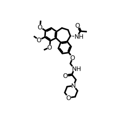 COc1cc2c(c(OC)c1OC)-c1ccc(OCNC(=O)CN3CCOCC3)cc1[C@@H](NC(C)=O)CC2